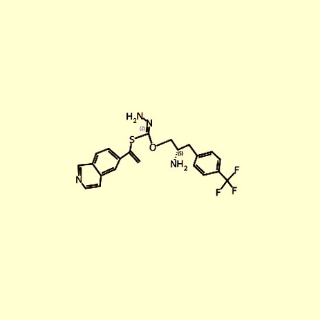 C=C(S/C(=N\N)OC[C@@H](N)Cc1ccc(C(F)(F)F)cc1)c1ccc2cnccc2c1